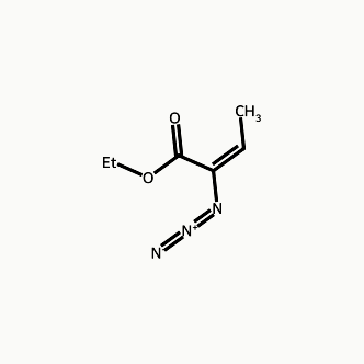 C/C=C(/N=[N+]=[N-])C(=O)OCC